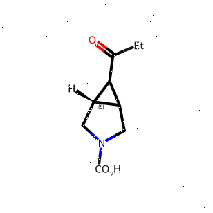 CCC(=O)C1C2CN(C(=O)O)C[C@@H]21